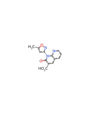 Cc1cc(-n2c(=O)c(C(=O)O)cc3cccnc32)no1